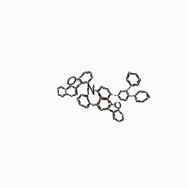 c1ccc(-c2ccc(-c3ccc(N(c4ccccc4-c4ccc5oc6ccccc6c5c4)c4cccc5oc6c7ccccc7ccc6c45)cc3)cc2-c2ccccc2)cc1